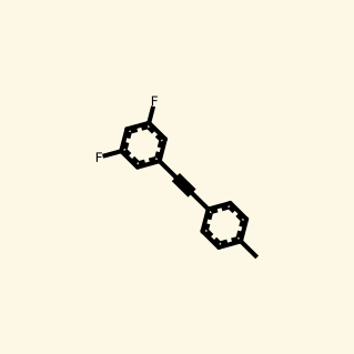 Cc1ccc(C#Cc2cc(F)cc(F)c2)cc1